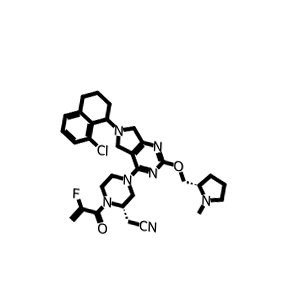 C=C(F)C(=O)N1CCN(c2nc(OC[C@@H]3CCCN3C)nc3c2CN(C2CCCc4cccc(Cl)c42)C3)C[C@@H]1CC#N